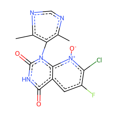 Cc1ncnc(C)c1-n1c(=O)[nH]c(=O)c2cc(F)c(Cl)[n+]([O-])c21